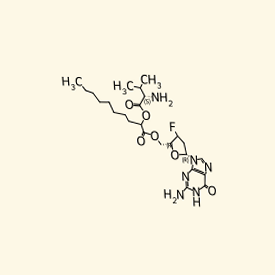 CCCCCCCCC(OC(=O)[C@@H](N)C(C)C)C(=O)OC[C@H]1O[C@@H](n2cnc3c(=O)[nH]c(N)nc32)CC1F